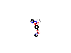 CN(C(=O)OC1CCC(COC(=O)N2CCCC2)CC1)c1cccnc1